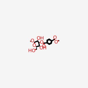 COC(=O)c1ccc(C(=O)O[C@@H]2[C@@H](O)[C@@H](OC)O[C@H](CO)[C@H]2O)cc1